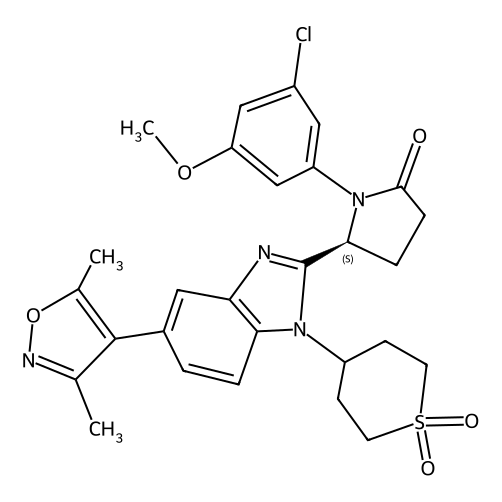 COc1cc(Cl)cc(N2C(=O)CC[C@H]2c2nc3cc(-c4c(C)noc4C)ccc3n2C2CCS(=O)(=O)CC2)c1